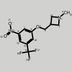 CN1CC(COc2cc([N+](=O)[O-])cc(C(F)(F)F)c2)C1